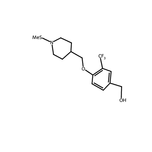 CSN1CCC(COc2ccc(CO)cc2C(F)(F)F)CC1